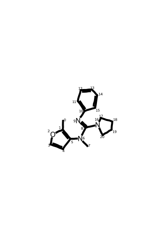 Cc1occc1N(C)C(=Nc1ccccc1)N1CCCC1